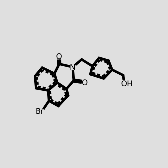 O=C1c2cccc3c(Br)ccc(c23)C(=O)N1Cc1ccc(CO)cc1